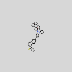 c1ccc(-c2ccc(-c3ccccc3N(c3ccc(-c4ccccc4)cc3)c3ccc(-c4ccc5c(ccc6sc7ccccc7c65)c4)cc3)cc2)cc1